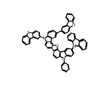 c1ccc(-n2c3ccc(-n4c5ccccc5c5ccccc54)cc3c3c4oc5c(ccc6c5c5cc(-c7ccc8oc9ccccc9c8c7)ccc5n6-c5ccc6sc7ccccc7c6c5)c4ccc32)cc1